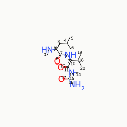 CN[C@@H](CC(C)C)C(=O)N[C@H](C(=O)N(C)C(N)=O)C(C)C